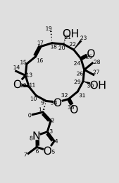 C/C(=C\c1coc(C)n1)[C@@H]1CC2OC2(C)C/C=C/[C@H](C)[C@H](O)[C@@H](C)C(=O)C(C)(C)[C@@H](O)CC(=O)O1